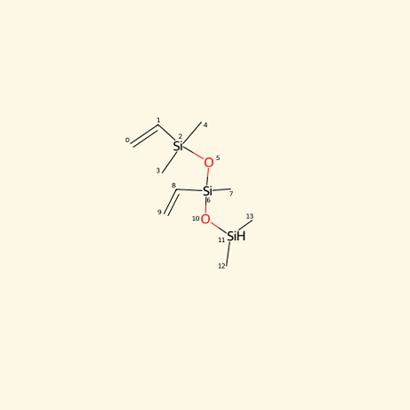 C=C[Si](C)(C)O[Si](C)(C=C)O[SiH](C)C